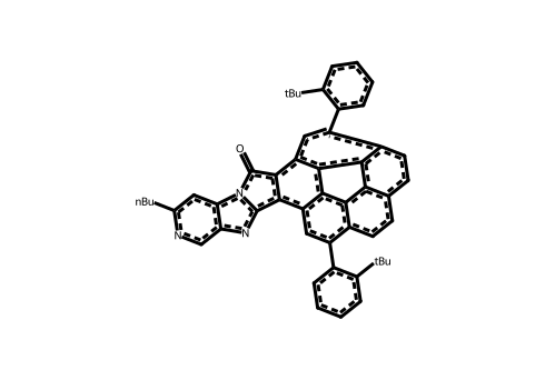 CCCCc1cc2c(cn1)nc1c3c4cc(-c5ccccc5C(C)(C)C)c5ccc6ccc7c(-c8ccccc8C(C)(C)C)cc(c3c(=O)n21)c1c7c6c5c41